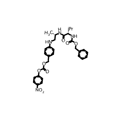 CC(C)[C@H](NC(=O)OCc1ccccc1)C(=O)N[C@@H](C)CNc1ccc(COC(=O)Oc2ccc([N+](=O)[O-])cc2)cc1